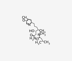 COc1ccc(CCC[C@@H](C)[C@@H](O)[C@@H](C(N)=O)N(C)C(=O)CC(C)C)nc1